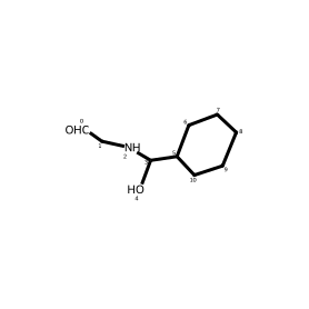 O=CCNC(O)C1CCCCC1